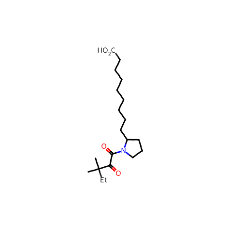 CCC(C)(C)C(=O)C(=O)N1CCCC1CCCCCCCCC(=O)O